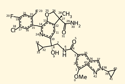 COc1cc(C(=O)NC[C@](O)(c2cc3c(c(-c4cc(Cl)c(F)cc4F)n2)OC[C@]3(C)C(N)=O)C2CC2)cc2cn(C3CC3)nc12